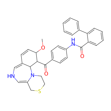 COC1C=CC2=CNC=C3CSCCN3C2C1C(=O)c1ccc(NC(=O)c2ccccc2-c2ccccc2)cc1